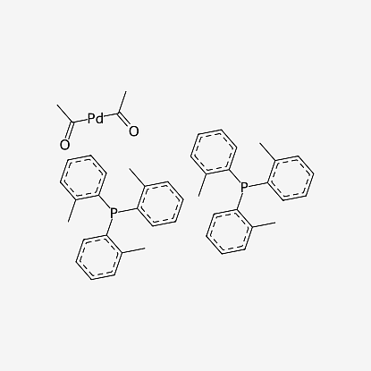 C[C](=O)[Pd][C](C)=O.Cc1ccccc1P(c1ccccc1C)c1ccccc1C.Cc1ccccc1P(c1ccccc1C)c1ccccc1C